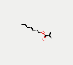 CCC/C=C/CCOC(=O)C(C)C